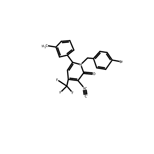 [C-]#[N+]c1c(C(F)(F)F)cc(-c2cccc(C)c2)n(Cc2ccc(Br)cc2)c1=O